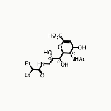 CCC(CC)C(=O)NC[C@H](O)[C@H](O)C1OC(C(=O)O)=CC(O)[C@H]1NC(C)=O